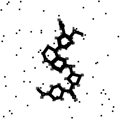 COc1ncc(N2CCOc3ccc(OC4CCN(C(=O)C5CCC(OC)CC5)C4)cc32)cc1C#N